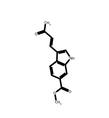 COC(=O)c1ccc2c(C=CC(C)=O)c[nH]c2c1